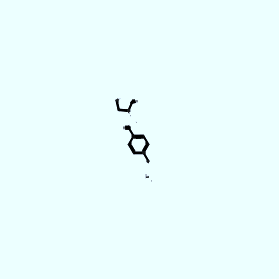 O=C(NC1CCOC1=O)c1ccc(CO[N+](=O)[O-])cc1